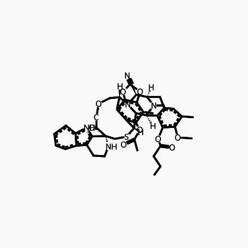 CCCC(=O)Oc1c(OC)c(C)cc2c1[C@H]1C3[C@@H]4SC[C@]5(NCCc6c5[nH]c5ccccc65)C(=O)COC[C@@H](c5c6c(c(C)c(OC(C)=O)c54)OCO6)N3[C@@H](C#N)[C@@H](C2)N1C